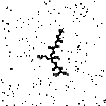 CCCC(C)(COC(=O)NCC(=O)OCC)COC(=O)NC(C)C